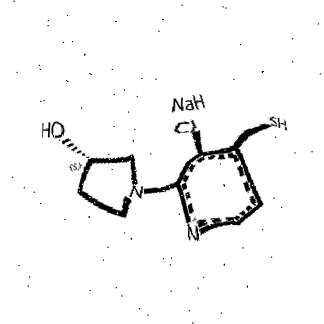 O[C@H]1CCN(c2nccc(S)c2Cl)C1.[NaH]